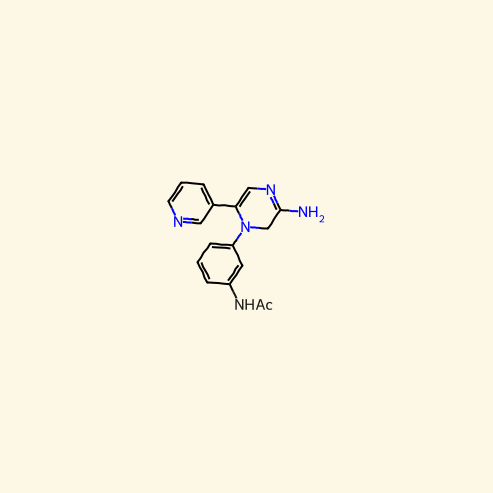 CC(=O)Nc1cccc(N2CC(N)=NC=C2c2cccnc2)c1